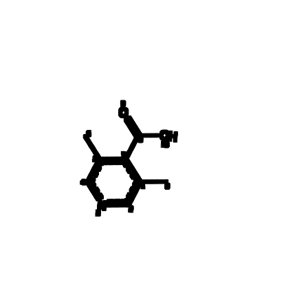 Cc1cncc(C)c1C(=O)O